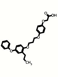 CCCc1cc(Oc2ccccc2)ccc1OCCCOc1ccc(OCC(=O)O)cc1